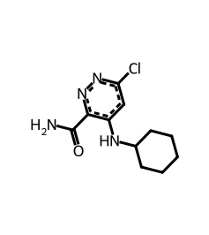 NC(=O)c1nnc(Cl)cc1NC1CCCCC1